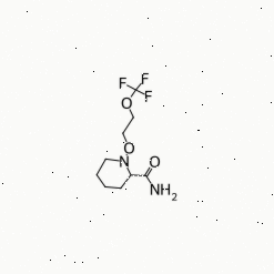 NC(=O)C1CCCCN1OCCOC(F)(F)F